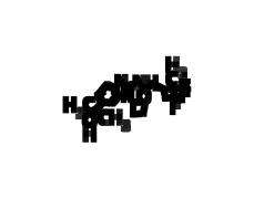 CC(C)(O)c1ccc2nc(NC(=O)CC3CC(F)(F)C3(C)F)n(C3CCC3)c2c1